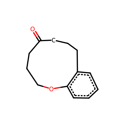 O=C1CCCOc2ccccc2CCC1